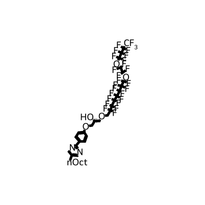 CCCCCCCCc1cnc(-c2ccc(OC[C@@H](O)COCC(F)(F)C(F)(F)C(F)(F)C(F)(F)C(F)(F)C(F)(F)C(F)(F)OC(F)(F)C(F)(F)OC(F)(F)C(F)(F)C(F)(F)C(F)(F)F)cc2)nc1